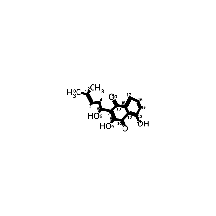 CC(C)=CCC(O)C1=C(O)C(=O)c2c(O)cccc2C1=O